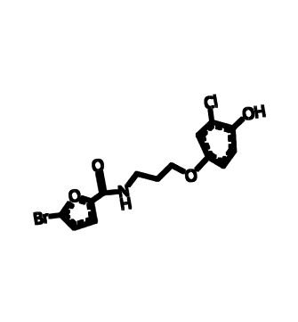 O=C(NCCCOc1ccc(O)c(Cl)c1)c1ccc(Br)o1